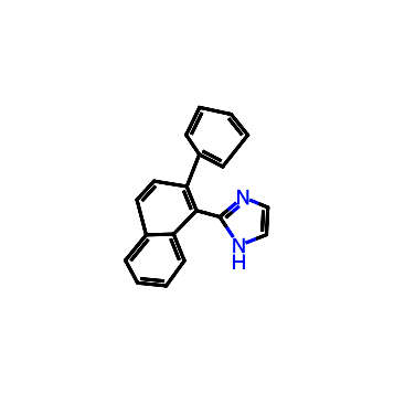 c1ccc(-c2ccc3ccccc3c2-c2ncc[nH]2)cc1